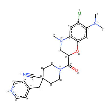 CN(C)c1cc2c(cc1Cl)N(C)CC(C(=O)N1CCC(C#N)(Cc3ccncc3)CC1)O2